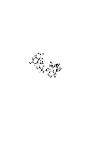 Cc1cc(C(=O)NC(C)(C)COc2cccc3c2C(N)=NS(=O)(=O)N3)c2ccccc2n1